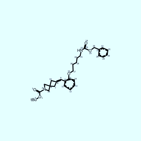 CC(C)(C)OC(=O)N1CC2(CC(=Cc3ccccc3OCCCCCNC(=O)OCc3ccccc3)C2)C1